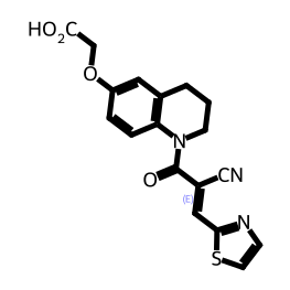 N#C/C(=C\c1nccs1)C(=O)N1CCCc2cc(OCC(=O)O)ccc21